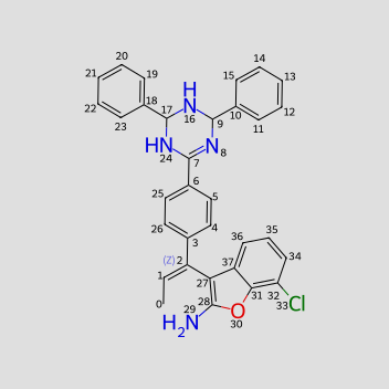 C/C=C(/c1ccc(C2=NC(c3ccccc3)NC(c3ccccc3)N2)cc1)c1c(N)oc2c(Cl)cccc12